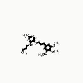 CCCCNc1nc(N)ncc1OCCCc1cc(OC)c(OC)c(OC)c1